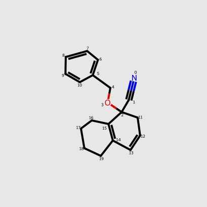 N#CC1(OCc2ccccc2)CC=CC2=C1CCCC2